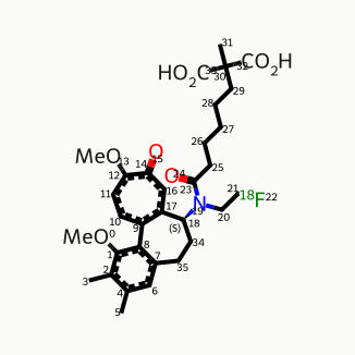 COc1c(C)c(C)cc2c1-c1ccc(OC)c(=O)cc1[C@@H](N(CC[18F])C(=O)CCCCCC(C)(C(=O)O)C(=O)O)CC2